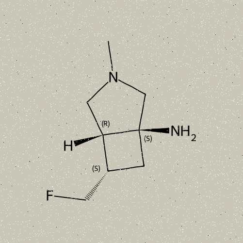 CN1C[C@H]2[C@@H](CF)C[C@@]2(N)C1